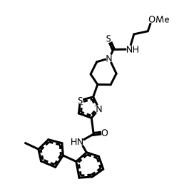 COCCNC(=S)N1CCC(c2nc(C(=O)Nc3ccccc3-c3ccc(C)cc3)cs2)CC1